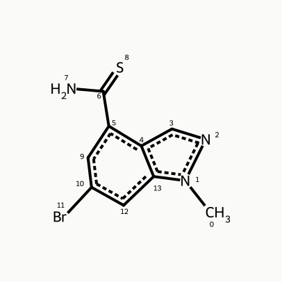 Cn1ncc2c(C(N)=S)cc(Br)cc21